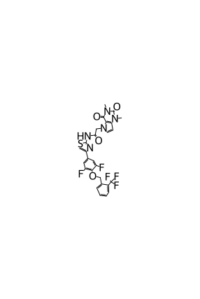 Cn1c(=O)c2c(ccn2CC(=O)Nc2nc(-c3cc(F)c(OCc4ccccc4C(F)(F)F)c(F)c3)cs2)n(C)c1=O